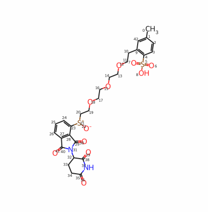 Cc1ccc(S(=O)(=O)O)c(CCOCCOCCOCC[S+]([O-])c2cccc3c2C(=O)N(C2CCC(=O)NC2=O)C3=O)c1